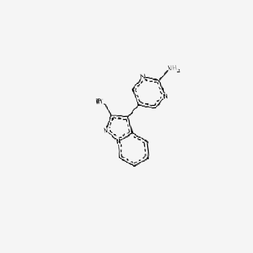 CC(C)c1nn2ccccc2c1-c1cnc(N)nc1